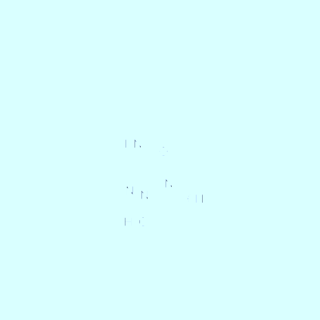 Cc1cc(C)n2ncc(C(=O)NC3CCc4ccccc43)c2n1